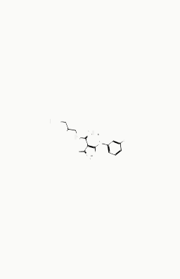 N=C(NCC(O)CO)c1c(O)nsc1Nc1cccc(Cl)c1